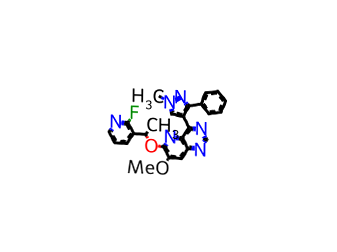 COc1cc2ncnc(-c3cn(C)nc3-c3ccccc3)c2nc1OC(C)c1cccnc1F